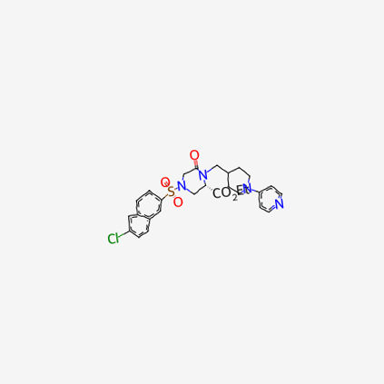 CCOC(=O)[C@@H]1CN(S(=O)(=O)c2ccc3cc(Cl)ccc3c2)CC(=O)N1CC1CCN(c2ccncc2)CC1